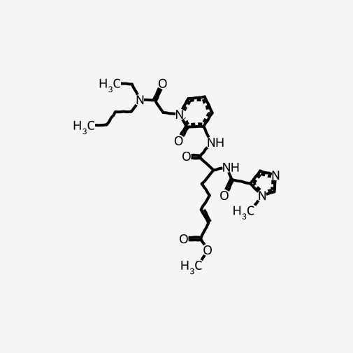 CCCCN(CC)C(=O)Cn1cccc(NC(=O)C(CCC=CC(=O)OC)NC(=O)c2cncn2C)c1=O